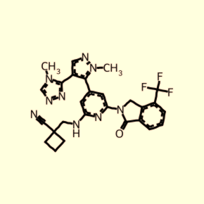 Cn1cnnc1-c1cnn(C)c1-c1cc(NCC2(C#N)CCC2)nc(N2Cc3c(cccc3C(F)(F)F)C2=O)c1